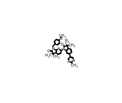 COc1ccc(CN2C(=O)C(C)(C)c3ccc(N4C(=O)C(C)(C)c5ccc(-c6cnc(C)nc6)cc54)nc32)cc1